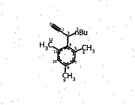 [C]#CC(CCCC)c1c(C)cc(C)cc1C